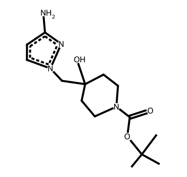 CC(C)(C)OC(=O)N1CCC(O)(Cn2ccc(N)n2)CC1